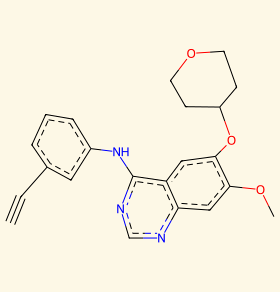 C#Cc1cccc(Nc2ncnc3cc(OC)c(OC4CCOCC4)cc23)c1